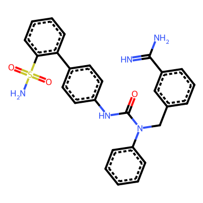 N=C(N)c1cccc(CN(C(=O)Nc2ccc(-c3ccccc3S(N)(=O)=O)cc2)c2ccccc2)c1